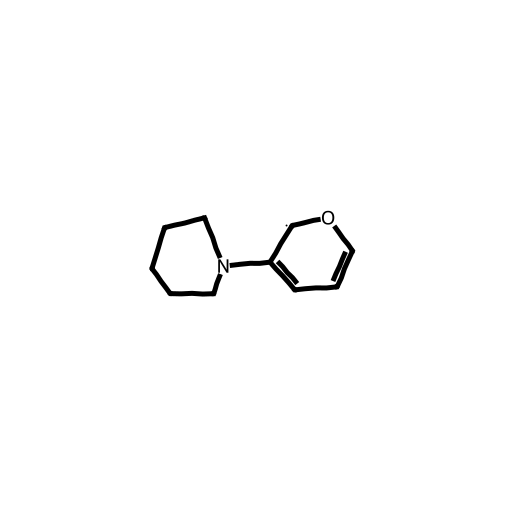 [CH]1OC=CC=C1N1CCCCC1